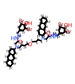 O=C(CN(CCCCOCCCCN(CC(=O)N/N=C/c1cc(Br)c(O)c(Br)c1)c1ccc2cc3ccccc3cc2c1)c1ccc2cc3ccccc3cc2c1)N/N=C/c1cc(Br)c(O)c(Br)c1